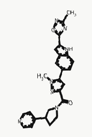 Cc1noc(-c2cc3cc(-c4cc(C(=O)N5CCC(c6ccncc6)C5)nn4C)ccc3[nH]2)n1